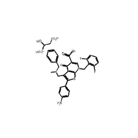 CC(C)C(=O)c1cn(Cc2c(F)cccc2F)c2sc(-c3ccc(N)cc3)c(CN(C)Cc3ccccc3)c2c1=O.O=C(O)CC(O)C(=O)O